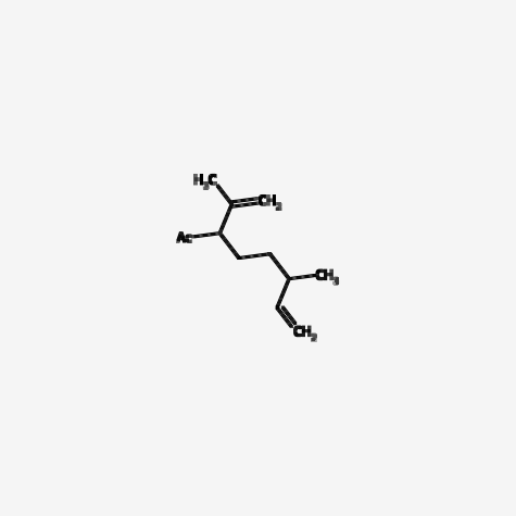 C=CC(C)CCC(C(=C)C)C(C)=O